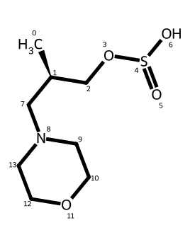 C[C@@H](COS(=O)O)CN1CCOCC1